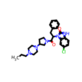 CCCN1CCN(C2CCN(C(=O)C(Cc3ccccc3)n3c(=O)[nH]c4ccc(Cl)cc43)C2)CC1